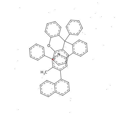 Cc1c(-c2cccc3ccccc23)cc(-c2ccccc2C2(c3ccccc3)c3ccccc3Oc3ccccc32)nc1-c1ccccc1